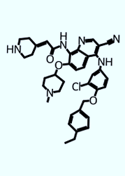 CCc1ccc(COc2ccc(Nc3c(C#N)cnc4c(NC(=O)C=C5CCNCC5)c(OC5CCN(C)CC5)ccc34)cc2Cl)cc1